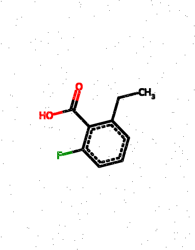 CCc1cccc(F)c1C(=O)O